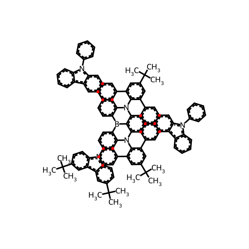 CC(C)(C)c1cc(-c2ccccc2)c(N2c3cc(-c4ccc5c(c4)c4ccccc4n5-c4ccccc4)ccc3B3c4ccc(-n5c6ccc(C(C)(C)C)cc6c6cc(C(C)(C)C)ccc65)cc4N(c4c(-c5ccccc5)cc(C(C)(C)C)cc4-c4ccccc4)c4cc(-c5ccc6c(c5)c5ccccc5n6-c5ccccc5)cc2c43)c(-c2ccccc2)c1